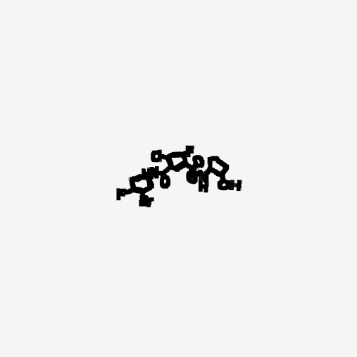 O=C(Nc1ccc(F)c(Br)c1)c1cc(S(=O)(=O)NC2CCCC2O)c(F)cc1Cl